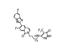 C[C@@H](CCCn1ccc2cc(-c3nc4cc(F)ccn4n3)c(F)cc2c1=O)Nc1cn[nH]c(=O)c1C(F)(F)F